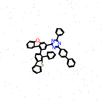 c1ccc(-c2ccc(-c3nc(-c4ccccc4)nc(-c4cc(-c5ccc6c(sc7ccccc76)c5-c5ccccc5)c5c(c4)oc4ccccc45)n3)cc2)cc1